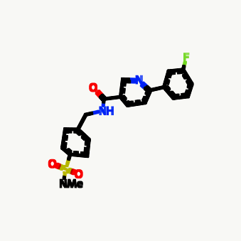 CNS(=O)(=O)c1ccc(CNC(=O)c2ccc(-c3cccc(F)c3)nc2)cc1